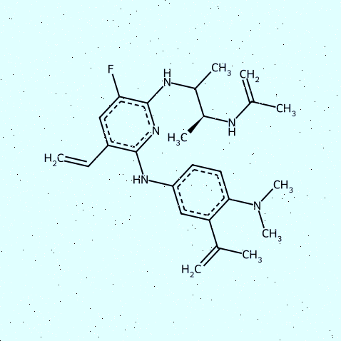 C=Cc1cc(F)c(NC(C)[C@H](C)NC(=C)C)nc1Nc1ccc(N(C)C)c(C(=C)C)c1